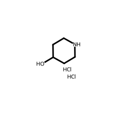 Cl.Cl.OC1CCNCC1